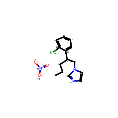 CCCC(Cn1ccnc1)c1ccccc1Cl.O=[N+]([O-])O